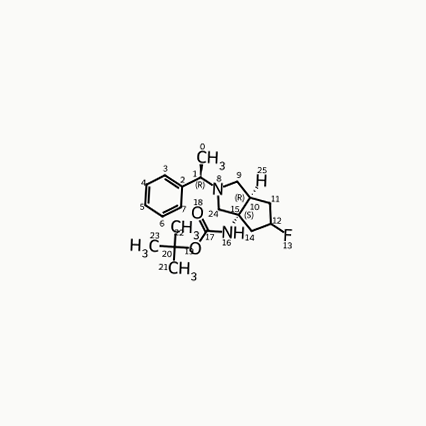 C[C@H](c1ccccc1)N1C[C@H]2CC(F)C[C@@]2(NC(=O)OC(C)(C)C)C1